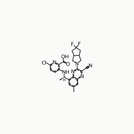 Cc1cc([C@@H](C)Nc2ccc(Cl)nc2C(=O)O)c2nc(N3CC4CC(F)(F)CC4C3)c(C#N)nc2c1